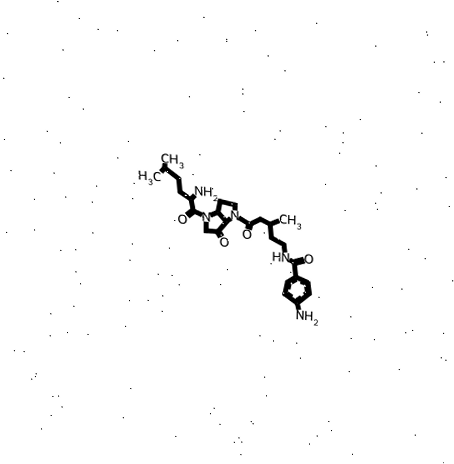 CC(C)CCC(N)C(=O)N1CC(=O)C2C1CCN2C(=O)CC(C)CCNC(=O)c1ccc(N)cc1